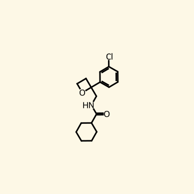 O=C(NCC1(c2cccc(Cl)c2)CCO1)C1CCCCC1